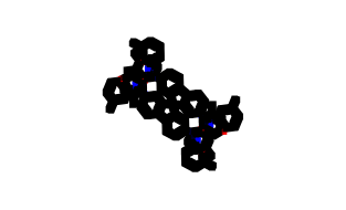 Cc1cccc(N(C2=CC=CC(C)C2C)c2ccc3c(c2)C2(c4cc(N(c5cccc(C)c5)c5cccc(C)c5)ccc4-3)c3cc(N(c4cccc(C)c4)c4cccc(C)c4)ccc3-c3ccc(N(c4cccc(C)c4)c4cccc(C)c4)cc32)c1